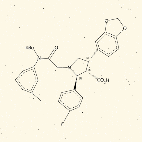 CCCCN(C(=O)CN1C[C@H](c2ccc3c(c2)OCO3)[C@H](C(=O)O)[C@H]1c1ccc(F)cc1)c1cccc(C)c1